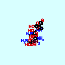 NCC1OC(OC2C(N)C[C@H](N)C(OC3OC(CNC(=O)c4ccccc4-c4c5ccc(=O)cc-5oc5cc(O)ccc45)C(O)C(N)C3O)C2O)C(O)C(O)C1O